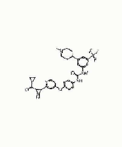 CN1CCC(c2cc(NC(=O)Nc3ccc(Oc4ccnc(C5NC5C(=O)C5CC5)c4)cc3)cc(C(F)(F)F)c2)CC1